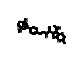 CNc1c(C(=O)NCCc2ccc(N3C[C@H]4CC[C@@H](C3)N4)cc2)sc2nc(C)cnc12